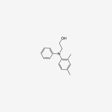 Cc1ccc(N(CCO)c2ccccc2)c(C)c1